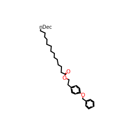 CCCCCCCCCCCCCCCCCCCCCCCC(=O)OCCc1ccc(OCc2ccccc2)cc1